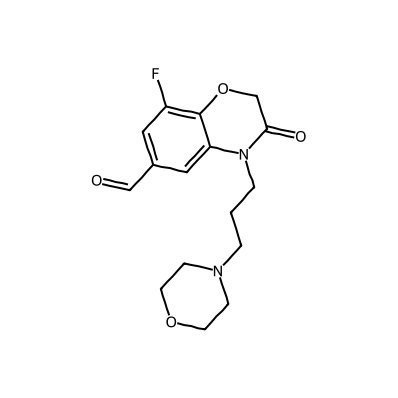 O=Cc1cc(F)c2c(c1)N(CCCN1CCOCC1)C(=O)CO2